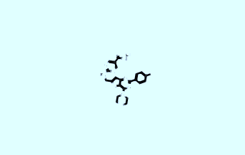 CCN(Cc1cc2nc(-c3ccc(C)cc3)nc(N3CCOCC3)c2s1)c1ncc(C(=O)NO)cn1